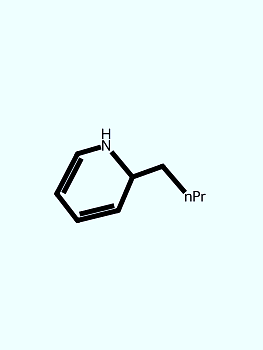 CCCC[C]1C=CC=CN1